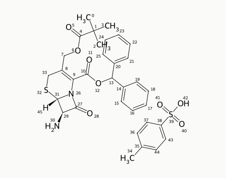 CC(C)(C)C(=O)OCC1=C(C(=O)OC(c2ccccc2)c2ccccc2)N2C(=O)[C@@H](N)[C@@H]2SC1.Cc1ccc(S(=O)(=O)O)cc1